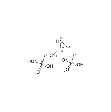 CP(=O)(O)O.CP(=O)(O)O.ClC1CN1